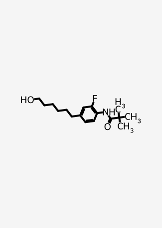 CC(C)(C)C(=O)Nc1ccc(CCCCCCO)cc1F